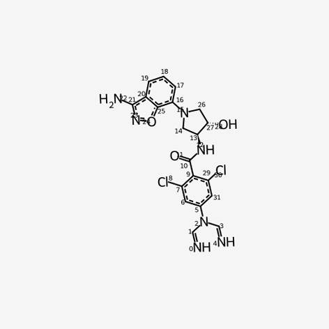 N=CN(C=N)c1cc(Cl)c(C(=O)N[C@H]2CN(c3cccc4c(N)noc34)C[C@@H]2O)c(Cl)c1